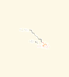 CCCCCCCCCCCCCCCCCCOP(=O)(O)O.CCC[CH2][Na]